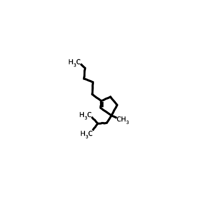 CCCCCC1=CC(C)(CC(C)C)CC1